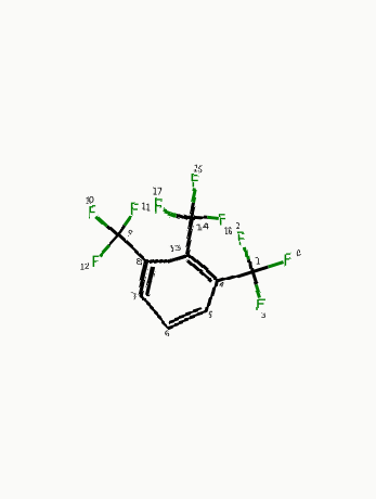 FC(F)(F)c1[c][c]cc(C(F)(F)F)c1C(F)(F)F